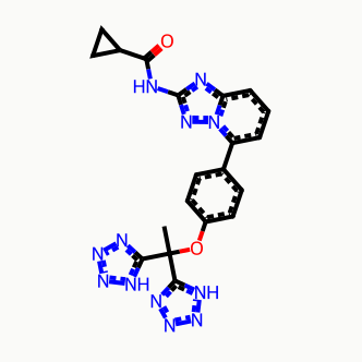 CC(Oc1ccc(-c2cccc3nc(NC(=O)C4CC4)nn23)cc1)(c1nnn[nH]1)c1nnn[nH]1